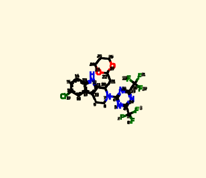 FC(F)(F)c1nc(N2CCc3c([nH]c4ccc(Cl)cc34)C2CC2OCCCO2)nc(C(F)(F)F)n1